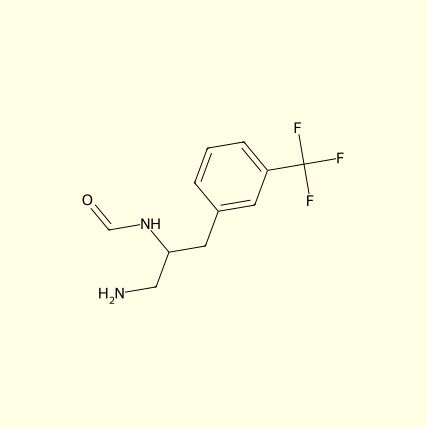 NCC(Cc1cccc(C(F)(F)F)c1)NC=O